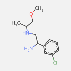 COCC(C)NCC(N)c1cccc(Cl)c1